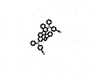 N#Cc1ccc(N(c2ccccc2)c2ccc3c4c(ccc3c2)-c2c(cc(N(c3ccccc3)c3ccc(C#N)cc3)c3ccccc23)C42c3ccccc3-c3ccccc32)cc1